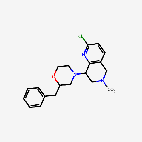 O=C(O)N1Cc2ccc(Cl)nc2C(N2CCOC(Cc3ccccc3)C2)C1